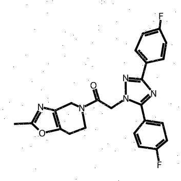 Cc1nc2c(o1)CCN(C(=O)Cn1nc(-c3ccc(F)cc3)nc1-c1ccc(F)cc1)C2